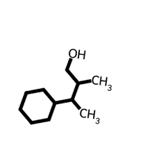 CC(CO)C(C)C1CCCCC1